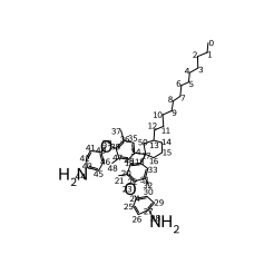 CCCCCCCCCCCCCC1CCCC(c2cc(C)c(Oc3ccc(N)cc3)c(C)c2)(c2cc(C)c(Oc3ccc(N)cc3)c(C)c2)C1